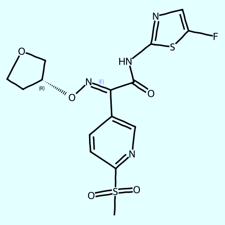 CS(=O)(=O)c1ccc(/C(=N\O[C@@H]2CCOC2)C(=O)Nc2ncc(F)s2)cn1